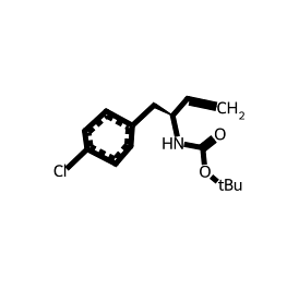 C=C[C@H](Cc1ccc(Cl)cc1)NC(=O)OC(C)(C)C